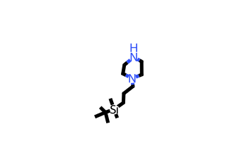 CC(C)(C)[Si](C)(C)CCCN1CCNCC1